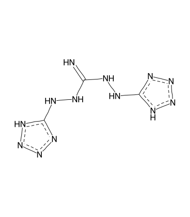 N=C(NNc1nnn[nH]1)NNc1nnn[nH]1